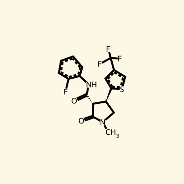 CN1C[C@H](c2cc(C(F)(F)F)cs2)[C@@H](C(=O)Nc2ccccc2F)C1=O